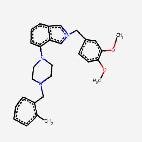 COc1ccc(Cn2cc3cccc(N4CCN(Cc5ccccc5C)CC4)c3c2)cc1OC